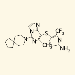 Cc1nc(N2CCC3(CCCC3)CC2)n2ccnc2c1Sc1ccc(N)nc1C(F)(F)F